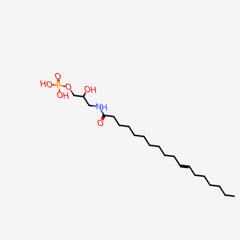 CCCCCCC=CCCCCCCCCCC(=O)NCC(O)COP(=O)(O)O